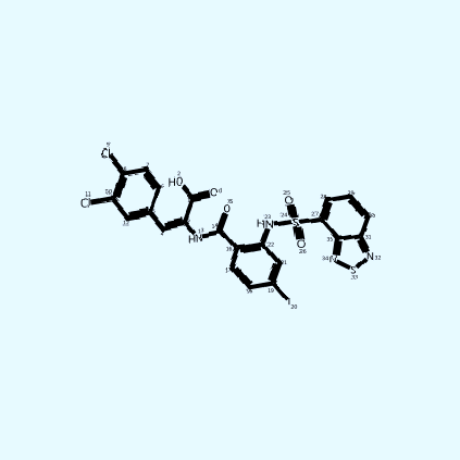 O=C(O)/C(=C\c1ccc(Cl)c(Cl)c1)NC(=O)c1ccc(I)cc1NS(=O)(=O)c1cccc2nsnc12